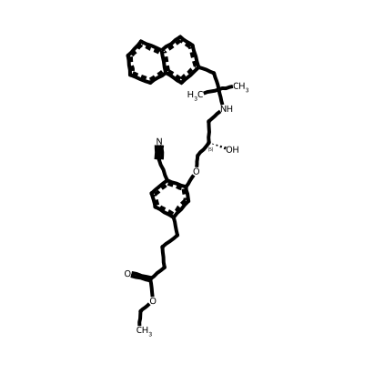 CCOC(=O)CCCc1ccc(C#N)c(OC[C@@H](O)CNC(C)(C)Cc2ccc3ccccc3c2)c1